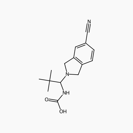 CC(C)(C)C(NC(=O)O)N1Cc2ccc(C#N)cc2C1